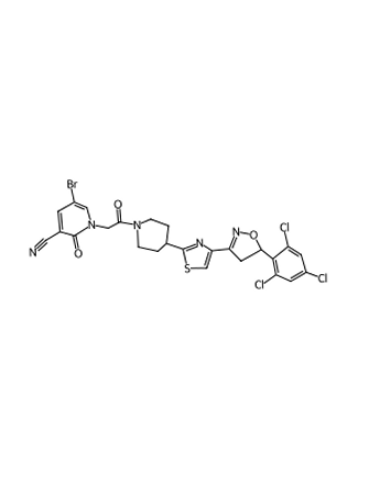 N#Cc1cc(Br)cn(CC(=O)N2CCC(c3nc(C4=NOC(c5c(Cl)cc(Cl)cc5Cl)C4)cs3)CC2)c1=O